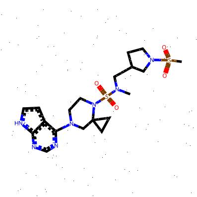 CN(CC1CCN(S(C)(=O)=O)C1)S(=O)(=O)N1CCN(c2ncnc3[nH]ccc23)CC12CC2